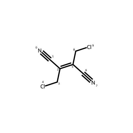 N#C/C(CCl)=C(/C#N)CCl